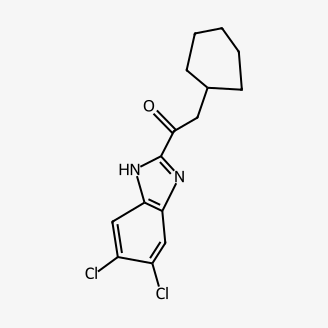 O=C(CC1CCCCC1)c1nc2cc(Cl)c(Cl)cc2[nH]1